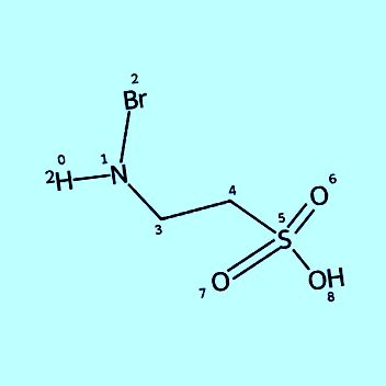 [2H]N(Br)CCS(=O)(=O)O